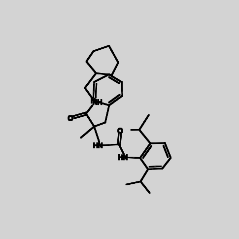 CC(C)c1cccc(C(C)C)c1NC(=O)NC(C)(Cc1ccccn1)C(=O)NCC1CCCCC1